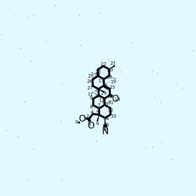 COC(=O)C[C@]1(C)C2CC[C@]3(C)C(C(=O)C=C4C5[C@@H](C)[C@H](C)CC[C@]5(C)CC[C@]43C)[C@@]2(C)CC[C@H]1C#N